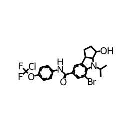 CC(C)N1c2c(Br)cc(C(=O)Nc3ccc(OC(F)(F)Cl)cc3)cc2C2CCC(O)C21